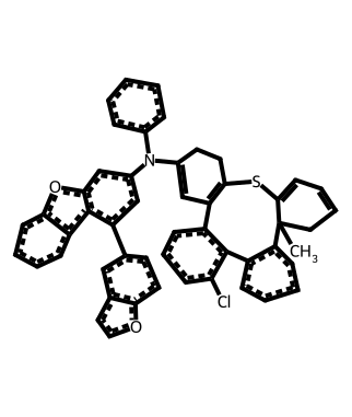 CC12CC=CC=C1SC1=C(C=C(N(c3ccccc3)c3cc(-c4ccc5occc5c4)c4c(c3)oc3ccccc34)CC1)c1cccc(Cl)c1-c1ccccc12